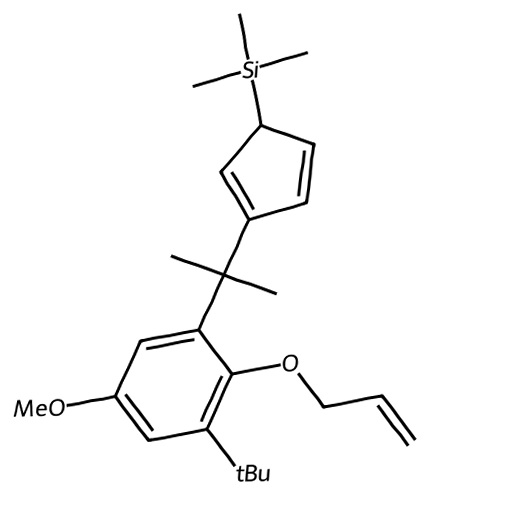 C=CCOc1c(C(C)(C)C)cc(OC)cc1C(C)(C)C1=CC([Si](C)(C)C)C=C1